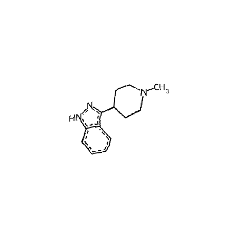 CN1CCC(c2n[nH]c3ccccc23)CC1